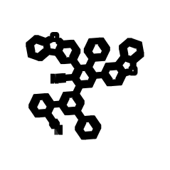 N#Cc1ccccc1-c1cc(-c2ccccc2)cc(-c2cc(-c3ccc4oc5ccccc5c4c3)c(-c3ccccc3)c(-c3ccc4oc5ccccc5c4c3)c2C#N)c1